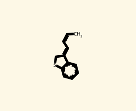 C/C=C\C=C1/CSc2ccccc21